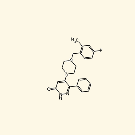 Cc1cc(F)ccc1CN1CCN(c2cc(=O)[nH]nc2-c2ccccc2)CC1